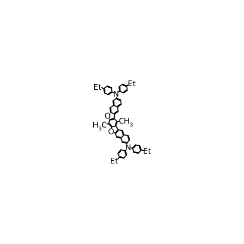 CCc1ccc(N(c2ccc(CC)cc2)c2ccc3cc4c(cc3c2)oc2c(C)c3oc5cc6cc(N(c7ccc(CC)cc7)c7ccc(CC)cc7)ccc6cc5c3c(C)c24)cc1